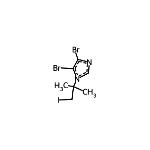 CC(C)(CI)n1cnc(Br)c1Br